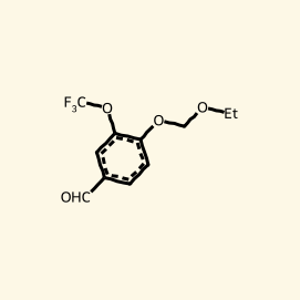 CCOCOc1ccc(C=O)cc1OC(F)(F)F